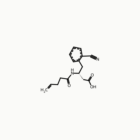 C=CCCC(=O)N[C@@H](CC(=O)O)Cc1ccccc1C#N